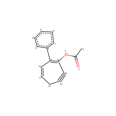 CC(=O)OC1=C(c2ccccc2)C=CCC#C1